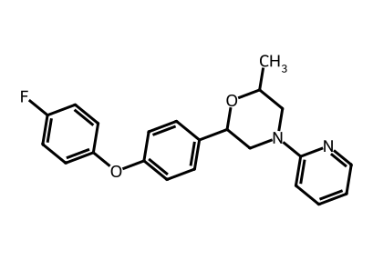 CC1CN(c2ccccn2)CC(c2ccc(Oc3ccc(F)cc3)cc2)O1